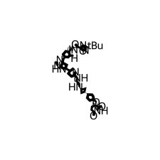 Cc1cc(-c2ncnc3[nH]c(-c4ccc(NCCN[C@H]5C[C@@H](c6ccc(O[C@@H]7CCC(=O)NC7=O)cc6)C5)nc4)cc23)ccc1[C@@H](C)NC(=O)c1nc(C(C)(C)C)no1